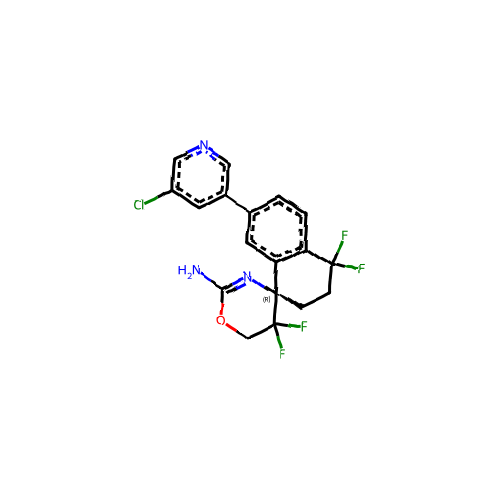 NC1=N[C@@]2(CCC(F)(F)c3ccc(-c4cncc(Cl)c4)cc32)C(F)(F)CO1